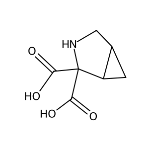 O=C(O)C1(C(=O)O)NCC2CC21